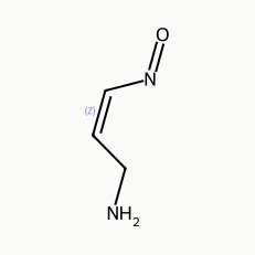 NC/C=C\N=O